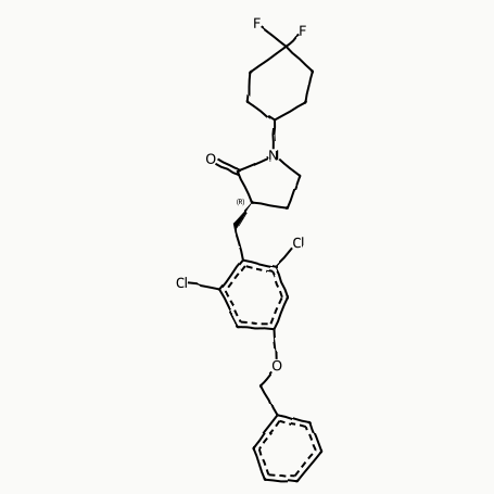 O=C1[C@H](Cc2c(Cl)cc(OCc3ccccc3)cc2Cl)CCN1C1CCC(F)(F)CC1